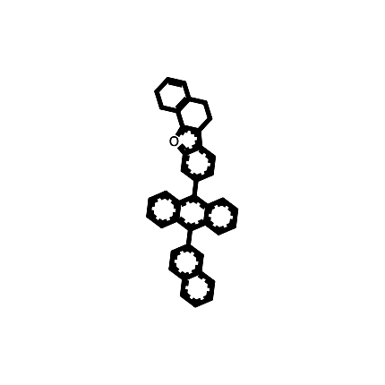 C1=CC2=C(CC1)c1oc3cc(-c4c5ccccc5c(-c5ccc6ccccc6c5)c5ccccc45)ccc3c1CC2